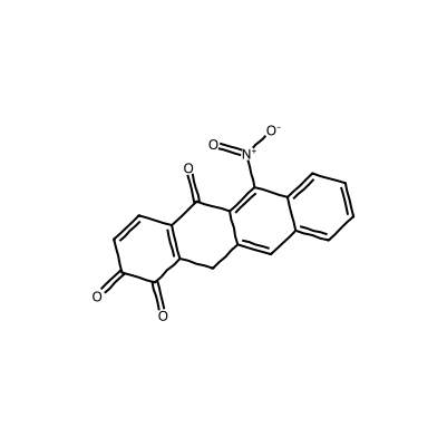 O=C1C=CC2=C(Cc3cc4ccccc4c([N+](=O)[O-])c3C2=O)C1=O